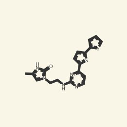 Cc1cn(CCNc2nccc(-c3ccc(-c4cccs4)s3)n2)c(=O)[nH]1